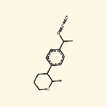 CC(N=C=O)c1ccc(C2CCCOC2C)cc1